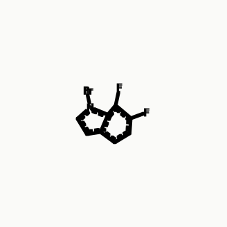 Fc1ccc2ccn(Br)c2c1F